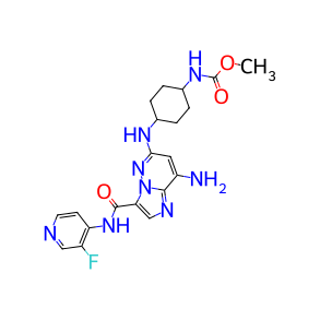 COC(=O)NC1CCC(Nc2cc(N)c3ncc(C(=O)Nc4ccncc4F)n3n2)CC1